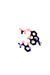 CC(=O)O.CN(C)C(=O)c1cccnc1O[C@H]1C=C[C@H]2[C@H]3Cc4ccc(O)c5c4[C@@]2(CCN3C)[C@H]1O5